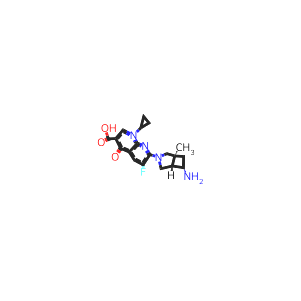 C[C@]12C[C@H](N)[C@@H]1CN(c1nc3c(cc1F)c(=O)c(C(=O)O)cn3C1CC1)C2